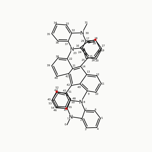 CN1c2ccccc2N(c2cccc3c(-c4ccccc4)c4c(N5c6ccccc6N(C)c6ccccc65)cccc4c(-c4ccccc4)c23)c2ccccc21